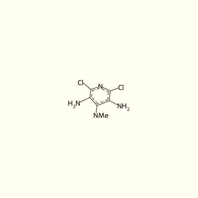 CNc1c(N)c(Cl)nc(Cl)c1N